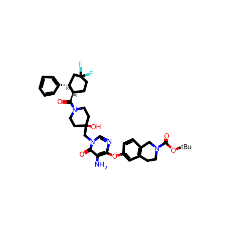 CC(C)(C)OC(=O)N1CCc2cc(Oc3ncn(CC4(O)CCN(C(=O)[C@@H]5CCC(F)(F)C[C@H]5c5ccccc5)CC4)c(=O)c3N)ccc2C1